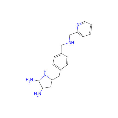 NC1CC(Cc2ccc(CNCc3ccccn3)cc2)NC1N